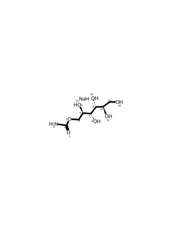 NC(=O)OC[C@@H](O)[C@@H](O)[C@H](O)[C@H](O)CO.[NaH]